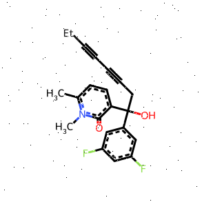 CCC#CC#CCC(O)(c1cc(F)cc(F)c1)c1ccc(C)n(C)c1=O